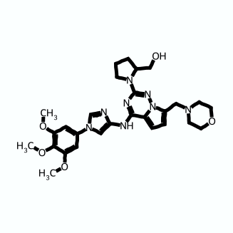 COc1cc(-n2cnc(Nc3nc(N4CCCC4CO)nn4c(CN5CCOCC5)ccc34)c2)cc(OC)c1OC